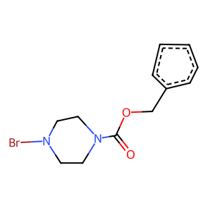 O=C(OCc1ccccc1)N1CCN(Br)CC1